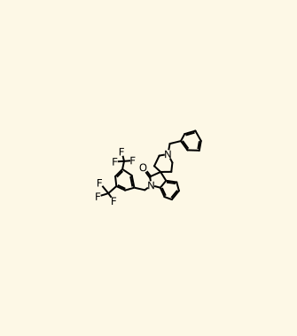 O=C1N(Cc2cc(C(F)(F)F)cc(C(F)(F)F)c2)c2ccccc2C12CCN(Cc1ccccc1)CC2